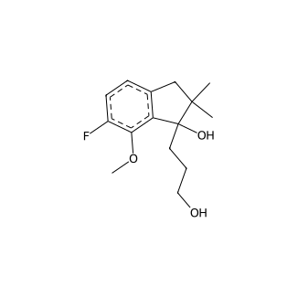 COc1c(F)ccc2c1C(O)(CCCO)C(C)(C)C2